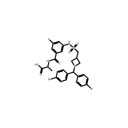 CC(NC(=O)c1cc(F)cc(NS(=O)(=O)CC2CN(C(c3ccc(Br)cc3)c3ccc(Br)cc3)C2)c1)C(=O)O